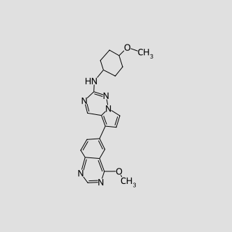 COc1ncnc2ccc(-c3ccn4nc(NC5CCC(OC)CC5)ncc34)cc12